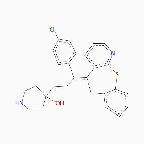 OC1(CCC(=C2Cc3ccccc3Sc3ncccc32)c2ccc(Cl)cc2)CCNCC1